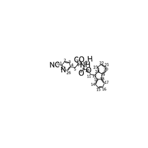 N#Cc1ccc(CC(NC(=O)OCC2c3ccccc3-c3ccccc32)C(=O)O)cn1